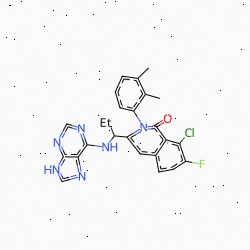 CCC(Nc1ncnc2[nH]cnc12)c1cc2ccc(F)c(Cl)c2c(=O)n1-c1cccc(C)c1C